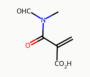 C=C(C(=O)O)C(=O)N(C)C=O